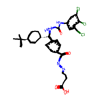 CC(C)(C)[C@H]1CC[C@H](C(NC(=O)Nc2cc(Cl)c(Cl)c(Cl)c2)c2ccc(C(=O)N=NCCC(=O)O)cc2)CC1